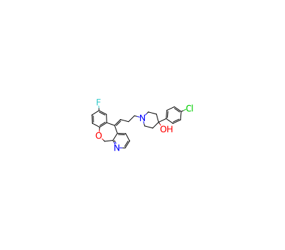 OC1(c2ccc(Cl)cc2)CCN(CCC=C2c3cc(F)ccc3OCc3ncccc32)CC1